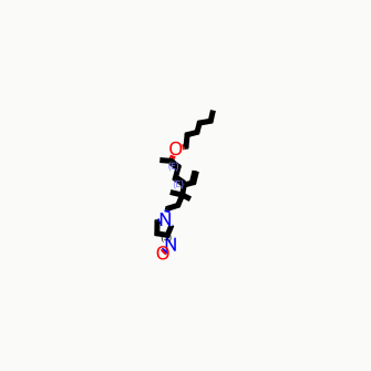 C=C/C(=C\C=C(/C)OCCCCCC)C(C)(C)CCN1CC[C@H](N=O)C1